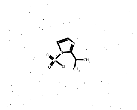 CC(C)c1nccn1S(=O)(=O)Cl